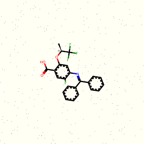 C[C@H](Oc1cc(N=C(c2ccccc2)c2ccccc2)c(F)cc1C(=O)O)C(F)(F)F